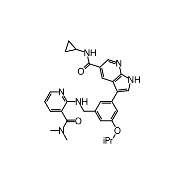 CC(C)Oc1cc(CNc2ncccc2C(=O)N(C)C)cc(-c2c[nH]c3ncc(C(=O)NC4CC4)cc23)c1